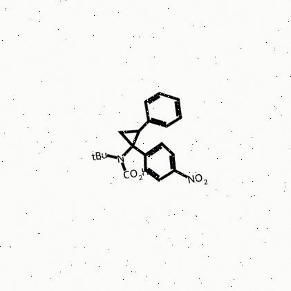 CC(C)(C)N(C(=O)O)C1(c2ccc([N+](=O)[O-])cc2)CC1c1ccccc1